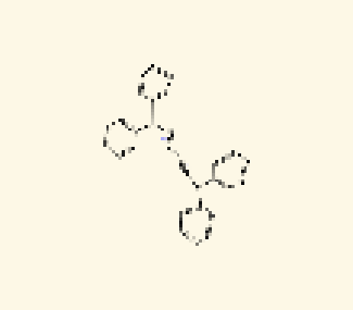 C(/C=N/C(c1ccccc1)c1ccccc1)=N\C(c1ccccc1)c1ccccc1